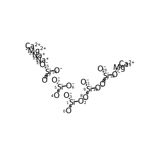 O=[Si]([O-])[O-].O=[Si]([O-])[O-].O=[Si]([O-])[O-].O=[Si]([O-])[O-].O=[Si]([O-])[O-].[Ca+2].[Ca+2].[Mg+2].[Mg+2].[Na+].[Na+]